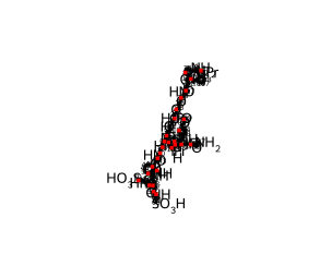 CC(C)N/C1=C(\N)c2ccccc2N(C(=O)CCC(=O)NCCOCCOCCOCCOCCC(=O)N[C@H](CCCCNC(=O)COC2CCCCC/C(NCCN(CC(=O)NCCS(=O)(=O)O)CC(=O)NCCS(=O)(=O)O)=C\2N=N)C(=O)N[C@H](C(=O)N[C@@H](CCCNC(N)=O)C(=O)Nc2ccc(COC(=O)P)cc2)C(C)C)Cc2ccccc21